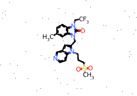 Cc1ccc2c(c1)n(Cc1cc3cnccc3n1CCCS(C)(=O)=O)c(=O)n2CC(F)(F)F